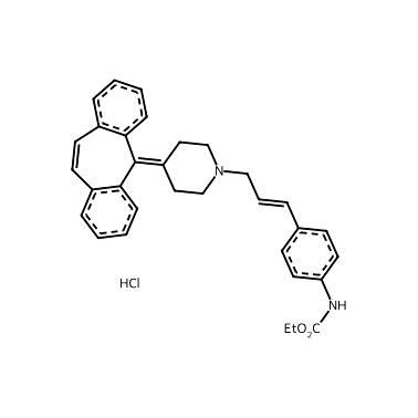 CCOC(=O)Nc1ccc(C=CCN2CCC(=C3c4ccccc4C=Cc4ccccc43)CC2)cc1.Cl